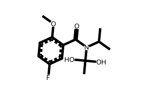 COc1ccc(F)cc1C(=O)N(C(C)C)C(C)(O)O